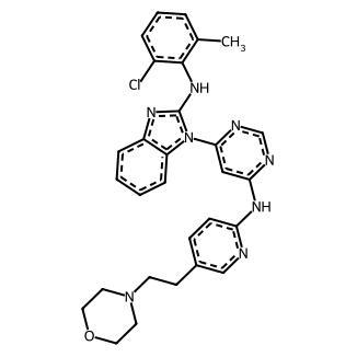 Cc1cccc(Cl)c1Nc1nc2ccccc2n1-c1cc(Nc2ccc(CCN3CCOCC3)cn2)ncn1